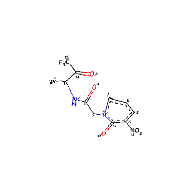 CC(C)C(NC(=O)Cn1cccc([N+](=O)[O-])c1=O)C(=O)C(F)(F)F